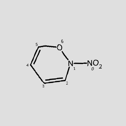 O=[N+]([O-])N1C=CC=CO1